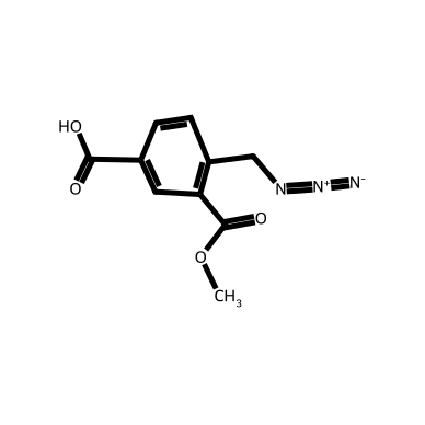 COC(=O)c1cc(C(=O)O)ccc1CN=[N+]=[N-]